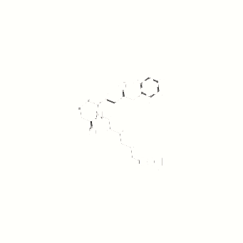 O=C(O)CCCCCCN1C(=O)CCCC1C=CC(=O)Cc1ccccc1